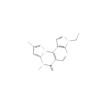 CCn1ncc2c1ncc1c(=O)n(C)c3cc(C)nn3c12